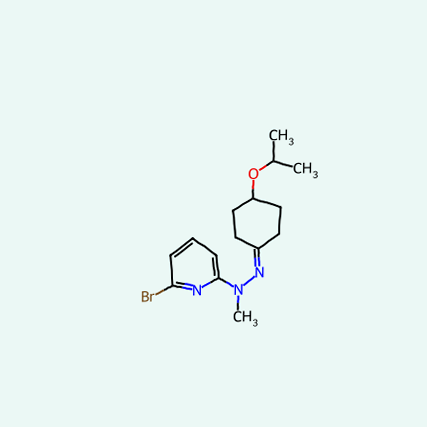 CC(C)OC1CCC(=NN(C)c2cccc(Br)n2)CC1